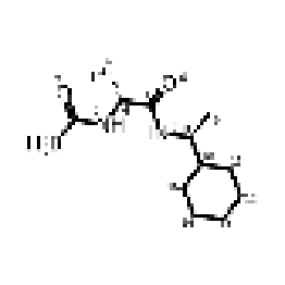 BC(=O)N[C@@H](C(=O)N[C@@H](C)C1CCCCC1)C(C)C